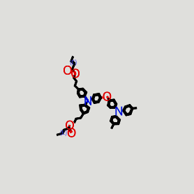 C/C=C/C(=O)OCCCc1ccc(N(c2ccc(CCCOC(=O)/C=C/C)cc2)c2ccc(Oc3ccc(N(c4ccc(C)cc4)c4ccc(C)cc4)cc3)cc2)cc1